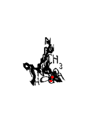 COc1cc(C(=O)N2C[C@H]3CC[C@@H]2[C@@H]3NC(=O)O)cc2nc(-c3cc4ccccc4n3CC3CC3)n(CC3CN(c4ccnc(C#N)n4)C3)c12